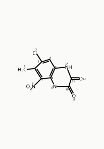 Cc1c(Cl)cc2c(c1[N+](=O)[O-])[N]C(=O)C(=O)N2